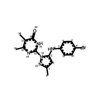 Cc1cc(Nc2ccc(Br)cc2)n(-c2nc(C)c(C)c(=O)[nH]2)n1